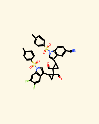 Cc1ccc(S(=O)(=O)n2cc(C3CC3(C=O)C3(C=O)CC3c3cn(S(=O)(=O)c4ccc(C)cc4)c4cc(F)c(F)cc34)c3cc(C#N)ccc32)cc1